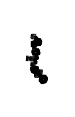 O[C@@H](COc1ccc2oc(-c3ccccc3)nc2c1)CN1C[CH]N([C@H]2CCc3c(Cl)cccc32)CC1